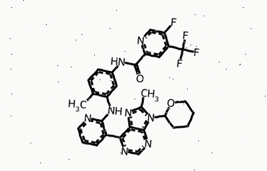 Cc1ccc(NC(=O)c2cc(C(F)(F)F)c(F)cn2)cc1Nc1ncccc1-c1ncnc2c1nc(C)n2C1CCCCO1